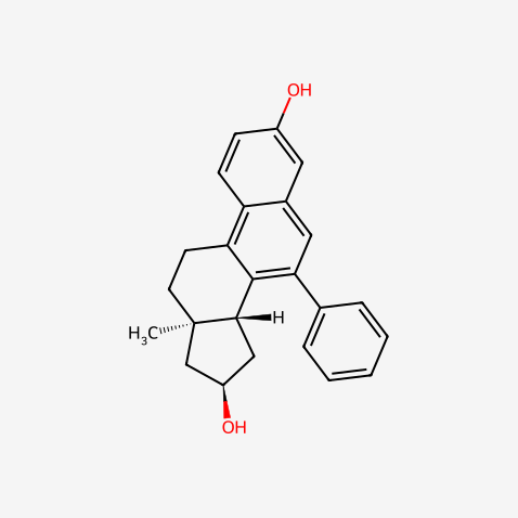 C[C@]12CCc3c(c(-c4ccccc4)cc4cc(O)ccc34)[C@@H]1C[C@@H](O)C2